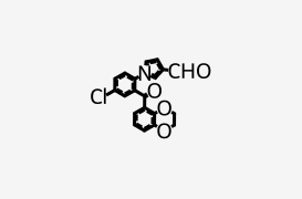 O=Cc1ccn(-c2ccc(Cl)cc2C(=O)c2cccc3c2OCCO3)c1